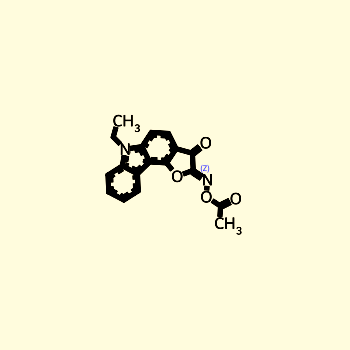 CCn1c2ccccc2c2c3c(ccc21)C(=O)/C(=N/OC(C)=O)O3